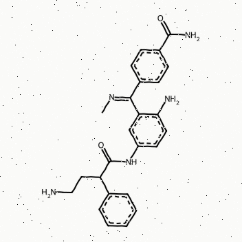 C/N=C(/c1ccc(C(N)=O)cc1)c1cc(NC(=O)C(CCN)c2ccccc2)ccc1N